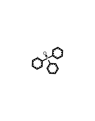 O=P(c1[c]cccc1)(c1ccccc1)c1ccccc1